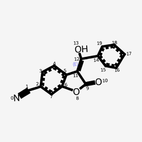 N#Cc1ccc2c(c1)OC(=O)/C2=C(/O)c1ccccc1